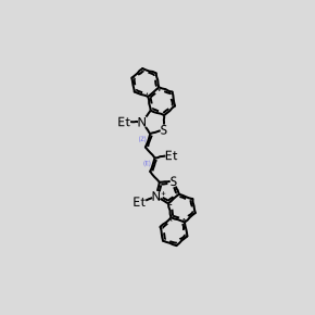 CCC(/C=C1\Sc2ccc3ccccc3c2N1CC)=C\c1sc2ccc3ccccc3c2[n+]1CC